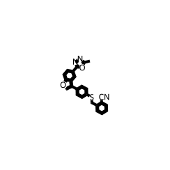 Cc1nnc(-c2ccc3occ(-c4ccc(SCc5ccccc5C#N)cc4)c3c2)o1